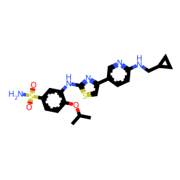 CC(C)Oc1ccc(S(N)(=O)=O)cc1Nc1nc(-c2ccc(NCC3CC3)nc2)cs1